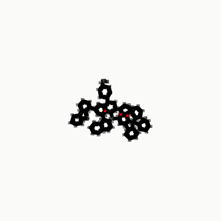 CC(C)(C)c1ccc(-c2ccc(N(c3ccc4c(c3)-c3ccccc3C4(c3ccccc3)c3ccccc3)c3ccc4ccccc4c3-c3cccc(-c4cccc5c4sc4ccccc45)c3)c(-c3ccccc3)c2)cc1